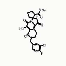 CNC(=O)C1CCCC12NC(=O)c1c3c(c(O)c(=O)n12)C(=O)N(Cc1ccc(F)c(Cl)c1)CC3